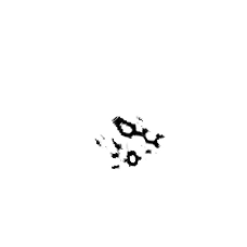 CC(=O)Nc1cc(Nc2ncc(C(F)(F)F)c(-c3cn(C)c4ccccc34)n2)ccc1N(CCN(C)C)C(C)=O